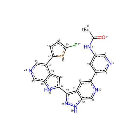 CC(C)(C)C(=O)Nc1cncc(-c2cc3c(-c4cc5c(-c6ccc(F)s6)cncc5[nH]4)n[nH]c3cn2)c1